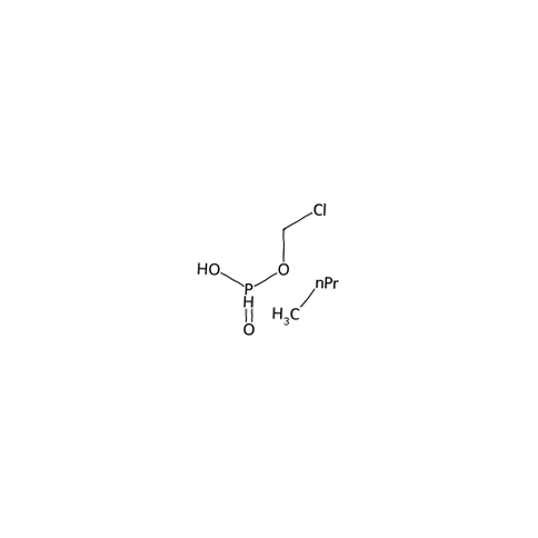 CCCC.O=[PH](O)OCCl